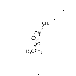 CCCCCCCCCCCC(=O)OCCC(C)C.OCc1ccccc1